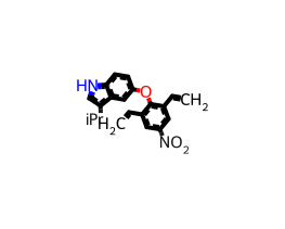 C=Cc1cc([N+](=O)[O-])cc(C=C)c1Oc1ccc2[nH]cc(C(C)C)c2c1